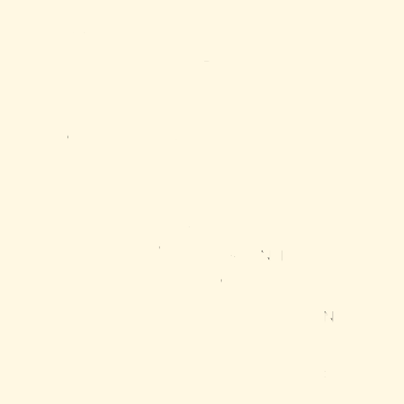 Cc1cc(/C=C/C(c2cc(Cl)cc(Cl)c2)C(F)(F)F)ccc1C(=O)Nc1ccc(Cl)nc1